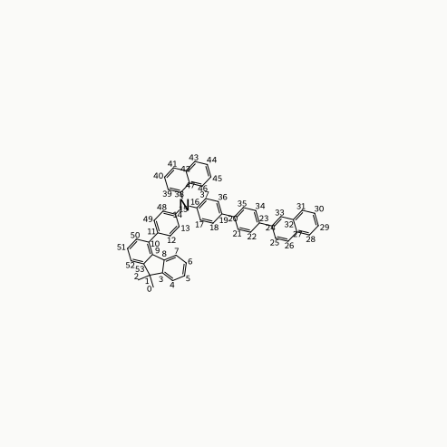 CC1(C)c2ccccc2-c2c(-c3ccc(N(c4ccc(-c5ccc(-c6ccc7ccccc7c6)cc5)cc4)c4cccc5ccccc45)cc3)cccc21